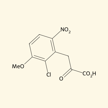 COc1ccc([N+](=O)[O-])c(CC(=O)C(=O)O)c1Cl